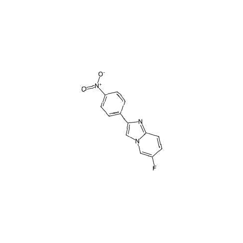 O=[N+]([O-])c1ccc(-c2cn3cc(F)ccc3n2)cc1